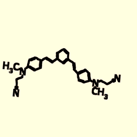 CN(CCC#N)c1ccc(/C=C/c2cccc(/C=C/c3ccc(N(C)CCC#N)cc3)c2)cc1